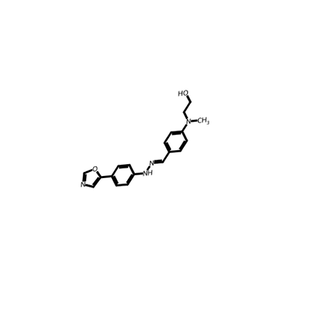 CN(CCO)c1ccc(C=NNc2ccc(-c3cnco3)cc2)cc1